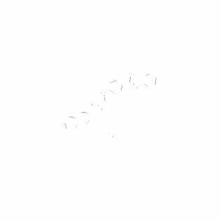 O=C(Nc1c(Cl)cccc1Cl)c1ccc2nc(NC(=O)c3cc4ccccc4cc3OCCN3CCOCC3)sc2c1